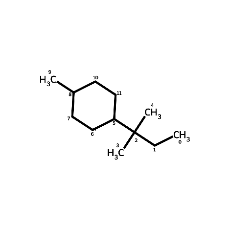 CCC(C)(C)C1[CH]CC(C)CC1